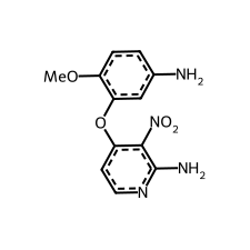 COc1ccc(N)cc1Oc1ccnc(N)c1[N+](=O)[O-]